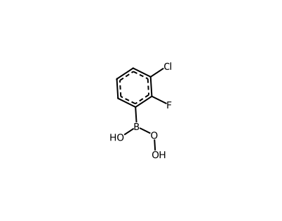 OOB(O)c1cccc(Cl)c1F